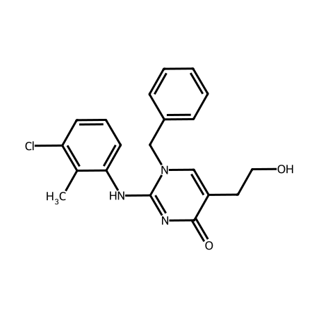 Cc1c(Cl)cccc1Nc1nc(=O)c(CCO)cn1Cc1ccccc1